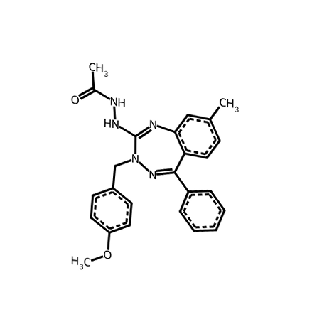 COc1ccc(CN2N=C(c3ccccc3)c3ccc(C)cc3N=C2NNC(C)=O)cc1